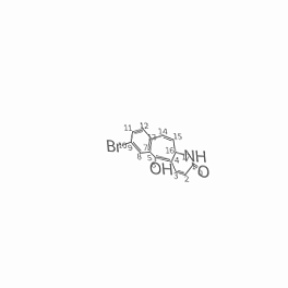 O=C1C=CC2=C(O)c3cc(Br)ccc3C=CC2N1